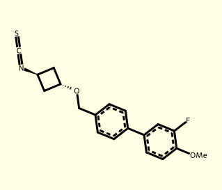 COc1ccc(-c2ccc(CO[C@H]3C[C@H](N=C=S)C3)cc2)cc1F